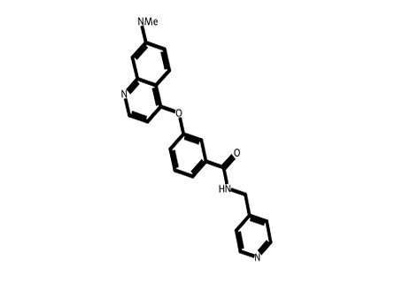 CNc1ccc2c(Oc3cccc(C(=O)NCc4ccncc4)c3)ccnc2c1